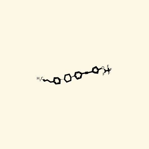 C=CCCc1ccc([C@H]2CC[C@H](c3ccc(C#Cc4ccc(OC(F)C(F)(F)F)cc4)cc3)CC2)cc1